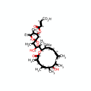 CCC1OC(O)(C(C)C(O)C(C)C2OC(=O)/C(C)=C\C(C)=C/C(C)C(O)C(C)C/C(C)=C\C=C/C2OC)CC(OC(=O)/C=C/C(=O)O)C1C